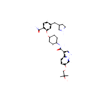 CC(C)(O)COc1ccc2c(C(=O)NC3CCC(Oc4cc(CC5CCNC5)ccc4C(N)=O)CC3)cnn2c1